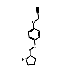 C#CCOc1ccc(OC[C@H]2CCCN2)cc1